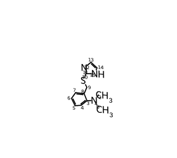 CN(C)c1ccccc1CSc1ncc[nH]1